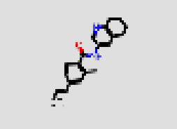 Cc1cc(C=CC(F)(F)F)ccc1C(=O)Nc1cnc2c(c1)CCCC2